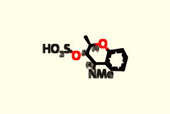 CN[C@@H]1c2ccccc2O[C@H](C)[C@H]1OS(=O)(=O)O